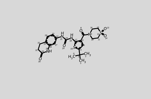 CC(C)(C)c1cc(C(=O)N2CCS(=O)(=O)CC2)c(NC(=O)Nc2ccc3c(c2)NC(=O)CC3)s1